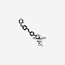 CNC[C@H](NC(=O)c1ccc(/C=C/c2ccc(CN3CCOCC3)cc2)cc1)C(=O)NO